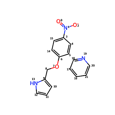 O=[N+]([O-])c1ccc(OCc2ccc[nH]2)cc1.c1ccncc1